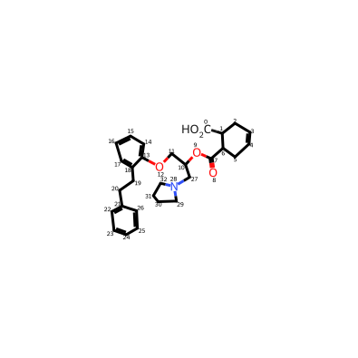 O=C(O)C1CC=CCC1C(=O)OC(COc1ccccc1CCc1ccccc1)CN1CCCC1